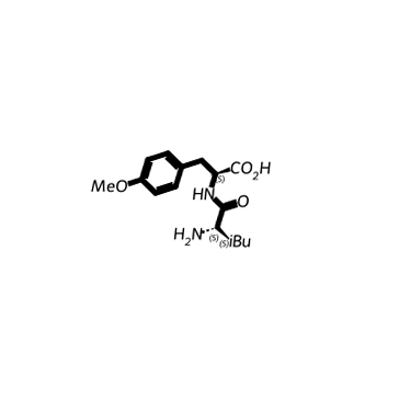 CC[C@H](C)[C@H](N)C(=O)N[C@@H](Cc1ccc(OC)cc1)C(=O)O